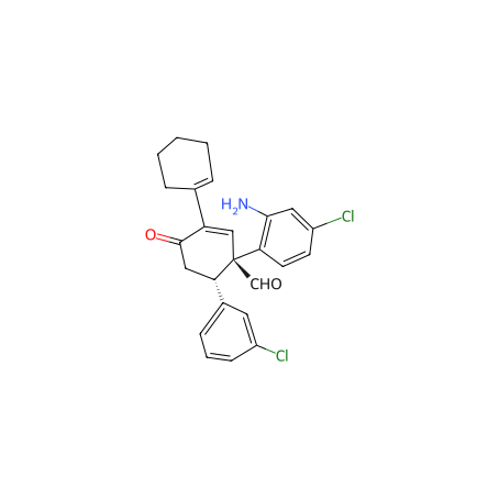 Nc1cc(Cl)ccc1[C@@]1(C=O)C=C(C2=CCCCC2)C(=O)C[C@H]1c1cccc(Cl)c1